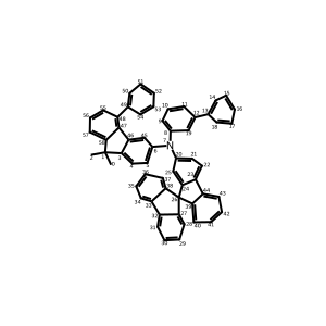 CC1(C)c2ccc(N(c3cccc(-c4ccccc4)c3)c3ccc4c(c3)C3(c5ccccc5-c5ccccc53)c3ccccc3-4)cc2-c2c(-c3ccccc3)cccc21